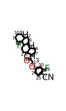 C[C@]12CCC3[C@@H](CC[C@@H]4CCCC[C@]34F)C1CC[C@@H]2C(=O)COc1ccc(C#N)c(F)c1